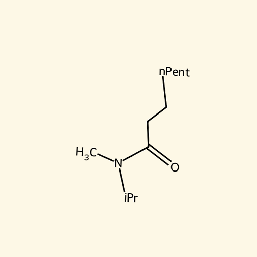 [CH2]CCCCCCC(=O)N(C)C(C)C